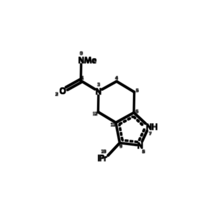 CNC(=O)N1CCc2[nH]nc(C(C)C)c2C1